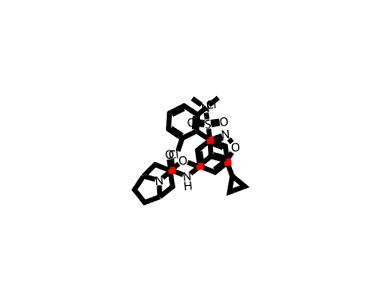 CN(C)S(=O)(=O)c1cccc(NC(=O)N2C3CCC2CC(OCc2c(-c4c(Cl)cccc4Cl)noc2C2CC2)C3)c1